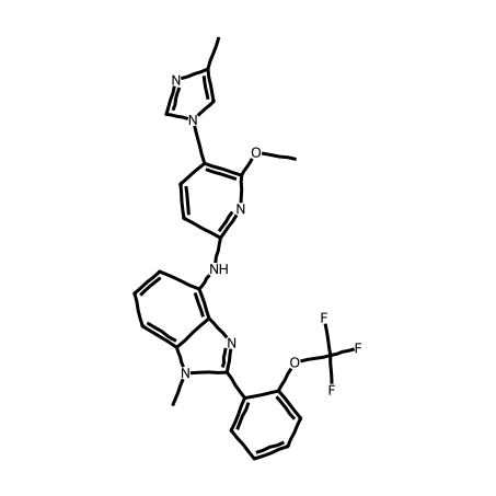 COc1nc(Nc2cccc3c2nc(-c2ccccc2OC(F)(F)F)n3C)ccc1-n1cnc(C)c1